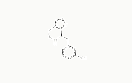 N#Cc1cccc(CC2NCCc3ccsc32)c1